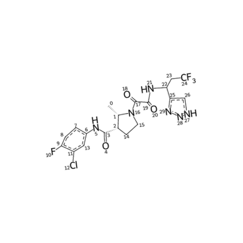 C[C@H]1[C@@H](C(=O)Nc2ccc(F)c(Cl)c2)CCN1C(=O)C(=O)NC(CC(F)(F)F)c1c[nH]nn1